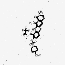 COC1CCN(S(=O)(=O)Nc2ccc(F)c(Nc3ccc4ncn(C)c(=O)c4c3C)c2Cl)CC1.O=C(O)C(F)(F)F